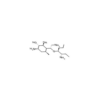 CCC[C@H](O[C@@H](CN)C1[C@@H](C)C[C@@H](N)[C@H](O)[C@H]1O)[C@@H](N)CC